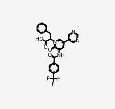 O=C(Nc1cc(-c2cncnc2)cn(C(Cc2ccccc2)C(=O)O)c1=O)c1ccc(C(F)(F)F)cc1